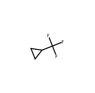 FC(F)(F)[C]1CC1